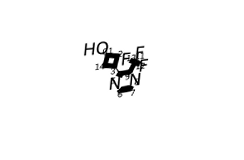 O[C@H]1C[C@H](c2nccnc2C(F)(F)F)C1